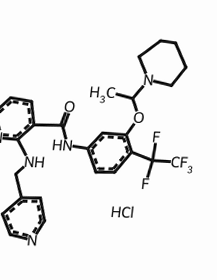 CC(Oc1cc(NC(=O)c2cccnc2NCc2ccncc2)ccc1C(F)(F)C(F)(F)F)N1CCCCC1.Cl